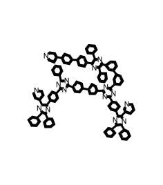 c1ccc(-c2nc(-c3ccc(-c4ccc(-c5nc(-c6ccc(-c7nc(-c8ccccc8)c(-c8ccccc8)nc7-c7cccnc7)cc6)nc(-c6cccc(-c7cccc(-c8nc(-c9ccccc9)c(-c9ccc(-c%10ccc(-c%11ccncc%11)cc%10)cc9)nc8-c8ccccc8)c7)c6)n5)cc4)cc3)nc(-c3ccc(-c4nc(-c5ccccc5)c(-c5ccccc5)nc4-c4ccncc4)cc3)n2)cc1